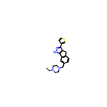 CCN1CCN(Cc2ccc3c(c2)-c2[nH]nc(-c4ccsc4)c2C3)CC1